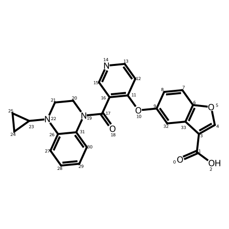 O=C(O)c1coc2ccc(Oc3ccncc3C(=O)N3CCN(C4CC4)c4ccccc43)cc12